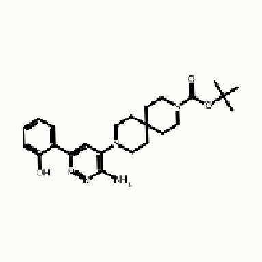 CC(C)(C)OC(=O)N1CCC2(CC1)CCN(c1cc(-c3ccccc3O)nnc1N)CC2